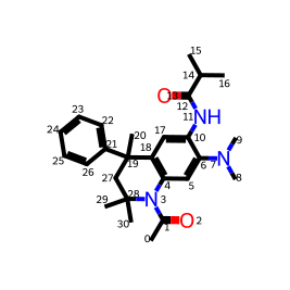 CC(=O)N1c2cc(N(C)C)c(NC(=O)C(C)C)cc2C(C)(c2ccccc2)CC1(C)C